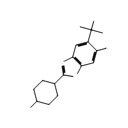 [2H]c1cc2sc(C3CCC(C=O)CC3)nc2cc1C(C)(C)O